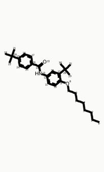 CCCCCCCCOc1ccc(NC(=O)c2ccc(C(C)(C)C)cc2)cc1C(C)(C)C